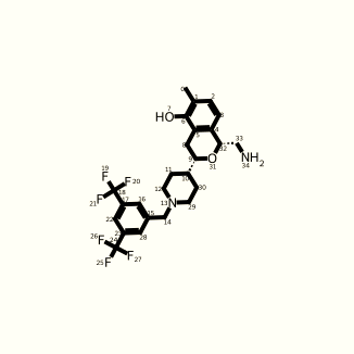 Cc1ccc2c(c1O)C[C@@H](C1CCN(Cc3cc(C(F)(F)F)cc(C(F)(F)F)c3)CC1)O[C@H]2CN